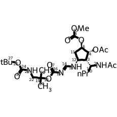 CCCC(NC(C)=O)[C@H]1[C@@H](OC(C)=O)[C@H](OC(=O)OC)C[C@H]1N/C=N/C(=O)OC(C)(C)CNC(=O)OC(C)(C)C